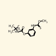 COC(=S)Nc1cccc(OC(=O)NC(C)(C)C)c1